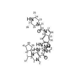 CCC1CN(C)C2=C(N[C@@](N)(Nc3cc4c(ccn4C(=O)CN4C[C@@H](C)N[C@@H](C)C4)cc3OC)NC2=O)N1C1CCCC1